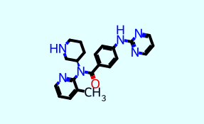 Cc1cccnc1N(C(=O)c1ccc(Nc2ncccn2)cc1)[C@@H]1CCCNC1